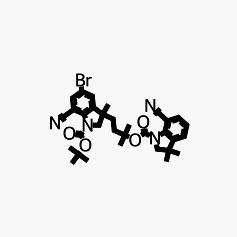 CC(C)(C)OC(=O)N1CC(C)(CCC(C)(C)OC(=O)N2CC(C)(C)c3cccc(C#N)c32)c2cc(Br)cc(C#N)c21